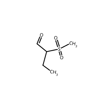 CCC(C=O)S(C)(=O)=O